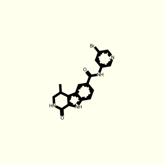 CC1CNC(=O)c2[nH]c3ccc(C(=O)Nc4cncc(Br)c4)cc3c21